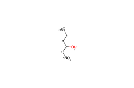 CCCCCCC(O)C[N+](=O)[O-]